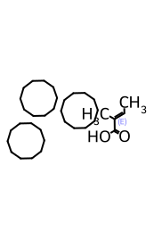 C/C=C(\C)C(=O)O.C1CCCCCCCCC1.C1CCCCCCCCC1.C1CCCCCCCCC1